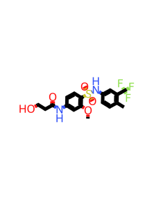 COc1cc(NC(=O)CCO)ccc1S(=O)(=O)Nc1ccc(C)c(C(F)(F)F)c1